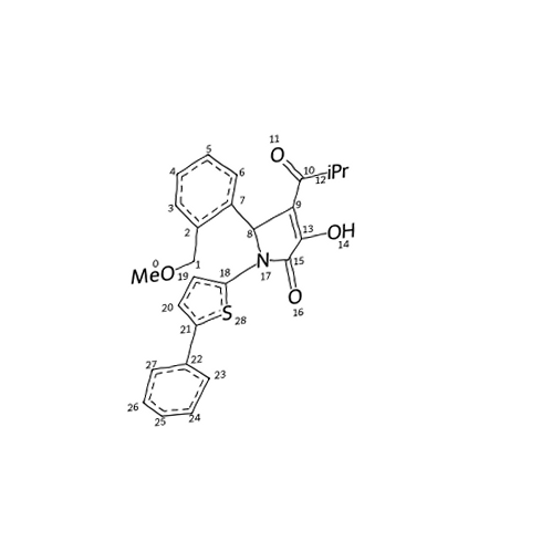 COCc1ccccc1C1C(C(=O)C(C)C)=C(O)C(=O)N1c1ccc(-c2ccccc2)s1